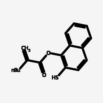 C=C(CCCC)C(=O)Oc1c(S)ccc2ccccc12